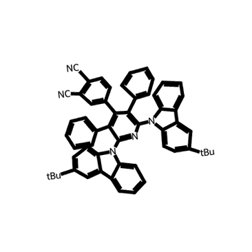 CC(C)(C)c1ccc2c(c1)c1ccccc1n2-c1nc(-n2c3ccccc3c3cc(C(C)(C)C)ccc32)c(-c2ccccc2)c(-c2ccc(C#N)c(C#N)c2)c1-c1ccccc1